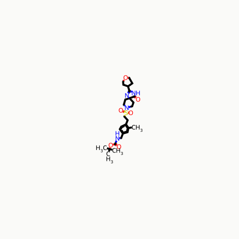 Cc1cc(CNC(=O)OC(C)(C)C)ccc1CCS(=O)(=O)N1CCC2(CC1)N=C(C1CCOCC1)NC2=O